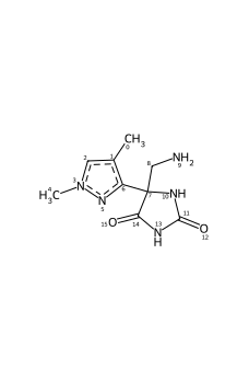 Cc1cn(C)nc1C1(CN)NC(=O)NC1=O